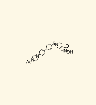 CC(=O)N1CCN(C2C=CC(C3C=CC(SN4CC=C(C(=O)NO)CC4)CC3)=CC2)CC1